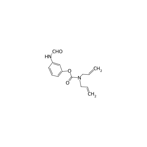 C=CCN(CC=C)C(=O)Oc1cccc(NC=O)c1